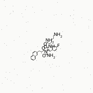 NCCCCC(NC(=O)[C@@H](Cc1ccc(F)cc1)N(C(N)=O)C(=O)[CH]Cc1ccc2ccccc2c1)C(N)=O